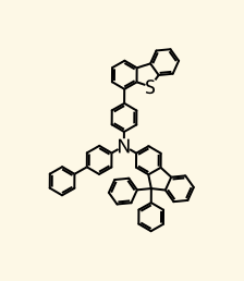 c1ccc(-c2ccc(N(c3ccc(-c4cccc5c4sc4ccccc45)cc3)c3ccc4c(c3)C(c3ccccc3)(c3ccccc3)c3ccccc3-4)cc2)cc1